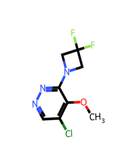 COc1c(Cl)cnnc1N1CC(F)(F)C1